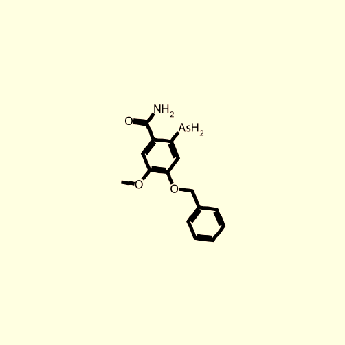 COc1cc(C(N)=O)c([AsH2])cc1OCc1ccccc1